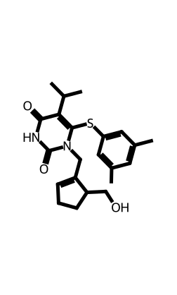 Cc1cc(C)cc(Sc2c(C(C)C)c(=O)[nH]c(=O)n2CC2=CCCC2CO)c1